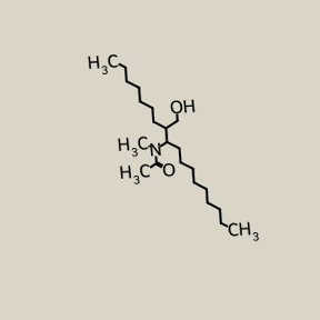 CCCCCCCCCC(C(CO)CCCCCCC)N(C)C(C)=O